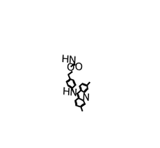 CNC(=O)OCCc1ccc(Nc2c3ccc(C)cc3nc3cc(C)ccc23)cc1